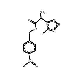 NC(C(=O)OCc1ccc([N+](=O)[O-])cc1)n1nnnc1S